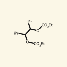 CCOC(=O)OC(C(C)C)C(OC(=O)OCC)C(C)C